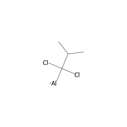 CC(C)[C]([Al])(Cl)Cl